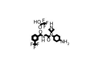 NC1CCC(N(C(=O)CNC(=O)c2cccc(C(F)(F)F)c2)C2CNC2)CC1.O=C(O)C(F)(F)F